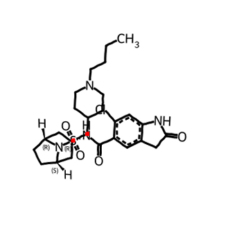 CCCCN1CCC(CS(=O)(=O)N2[C@@H]3CC[C@H]2C[C@@H](NC(=O)c2cc4c(cc2Cl)NC(=O)C4)C3)CC1